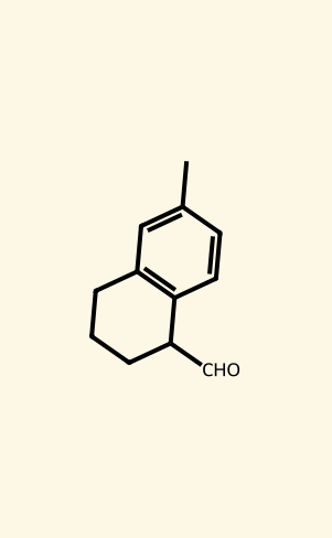 Cc1ccc2c(c1)CCCC2C=O